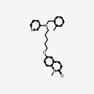 Cc1ccccc1CN(CCCCCOc1ccc2c(ccc(=O)n2C)c1)c1cccnc1